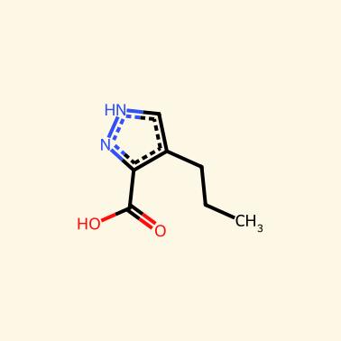 CCCc1c[nH]nc1C(=O)O